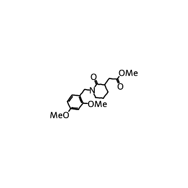 COC(=O)CC1CCCN(Cc2ccc(OC)cc2OC)C1=O